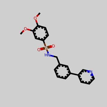 COc1ccc(S(=O)(=O)NCc2cccc(-c3cccnc3)c2)cc1OC